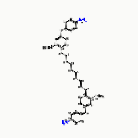 CCCCCCc1cc(Cc2ccc(N)cc2)ccc1CCCCCCCCCCc1ccc(Cc2ccc(N)cc2)cc1CCCCCC